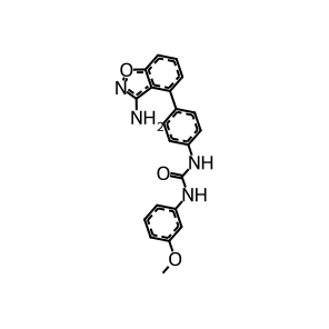 COc1cccc(NC(=O)Nc2ccc(-c3cccc4onc(N)c34)cc2)c1